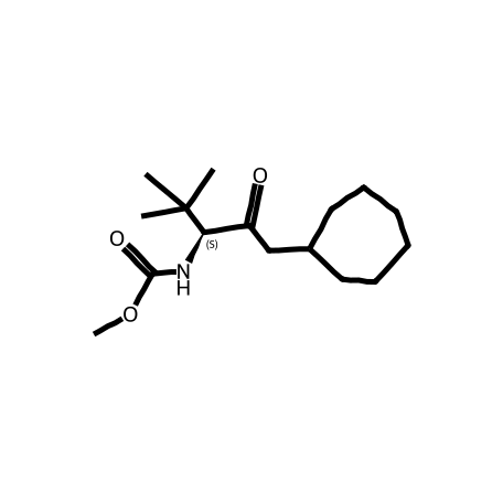 COC(=O)N[C@H](C(=O)CC1CCCCCC1)C(C)(C)C